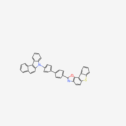 c1ccc2c(c1)ccc1c2c2ccccc2n1-c1ccc(-c2ccc(-c3nc4ccc5sc6ccccc6c5c4o3)cc2)cc1